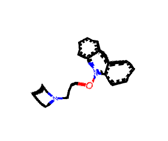 c1ccc2c(c1)c1ccccc1n2OCCN1CCC1